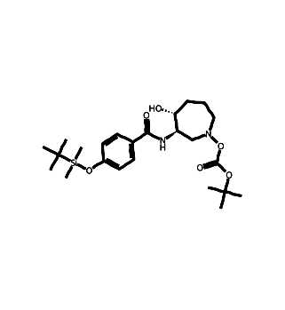 CC(C)(C)OC(=O)ON1CCC[C@@H](O)[C@H](NC(=O)c2ccc(O[Si](C)(C)C(C)(C)C)cc2)C1